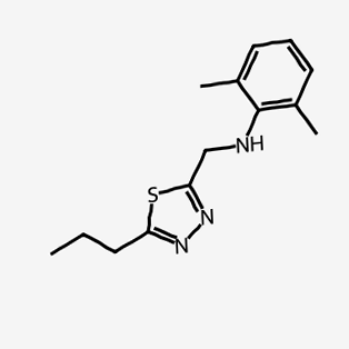 CCCc1nnc(CNc2c(C)cccc2C)s1